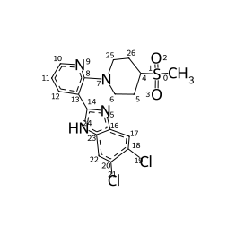 CS(=O)(=O)C1CCN(c2ncccc2-c2nc3cc(Cl)c(Cl)cc3[nH]2)CC1